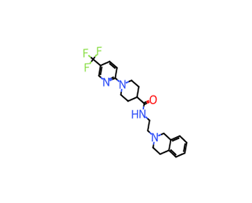 O=C(NCCN1CCc2ccccc2C1)C1CCN(c2ccc(C(F)(F)F)cn2)CC1